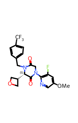 COc1cnc(N2CC(=O)N(Cc3ccc(C(F)(F)F)cc3)[C@@H](C3COC3)C2=O)c(F)c1